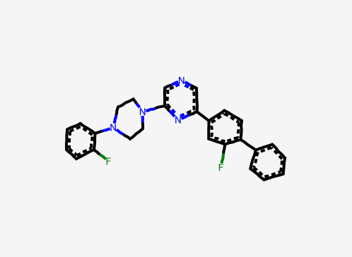 Fc1cc(-c2cncc(N3CCN(c4ccccc4F)CC3)n2)ccc1-c1ccccc1